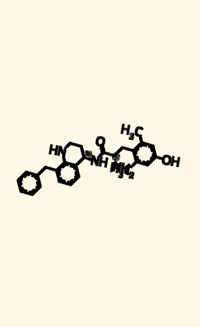 Cc1cc(O)cc(C)c1C[C@H](N)C(=O)N[C@@H]1CCNc2c(Cc3ccccc3)cccc21